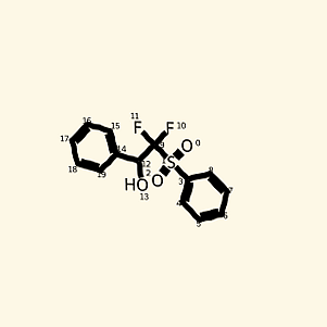 O=S(=O)(c1ccccc1)C(F)(F)C(O)c1ccccc1